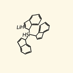 C1=CC([SiH](C2C=Cc3ccccc32)C2C=Cc3ccccc32)c2ccccc21.[LiH]